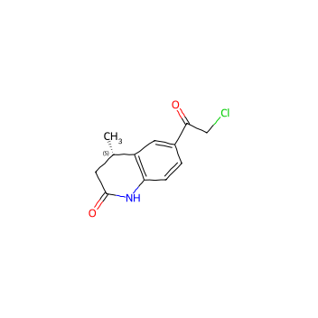 C[C@H]1CC(=O)Nc2ccc(C(=O)CCl)cc21